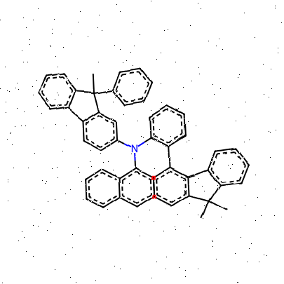 CC1(C)c2ccccc2-c2c(-c3ccccc3N(c3ccc4c(c3)C(C)(c3ccccc3)c3ccccc3-4)c3cccc4ccccc34)cccc21